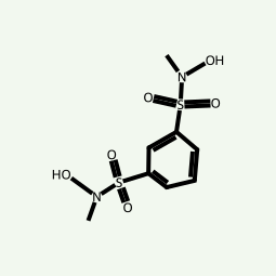 CN(O)S(=O)(=O)c1cccc(S(=O)(=O)N(C)O)c1